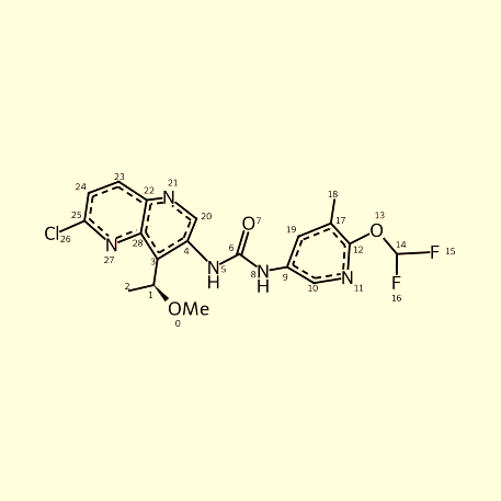 CO[C@@H](C)c1c(NC(=O)Nc2cnc(OC(F)F)c(C)c2)cnc2ccc(Cl)nc12